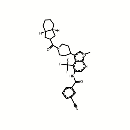 Cn1cc(C2CCN(C(=O)C3C[C@H]4CCCC[C@H]4C3)CC2)c2c(C(F)(F)F)c(NC(=O)c3cccc(C#N)c3)cnc21